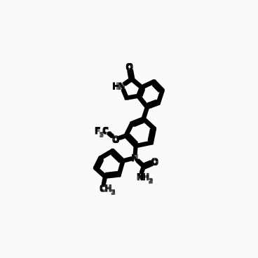 Cc1cccc(N(C(N)=O)c2ccc(-c3cccc4c3CNC4=O)cc2OC(F)(F)F)c1